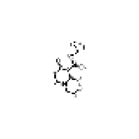 CCOC(=O)C1C(=O)CCN2CCOCC12